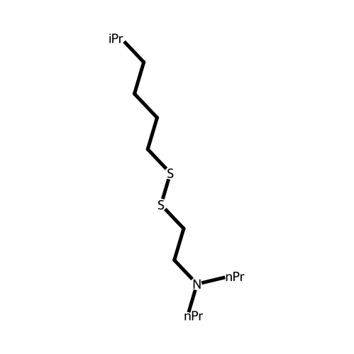 CCCN(CCC)CCSSCCCCC(C)C